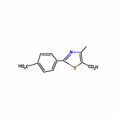 Cc1nc(-c2ccc(C(=O)O)cc2)sc1C(=O)O